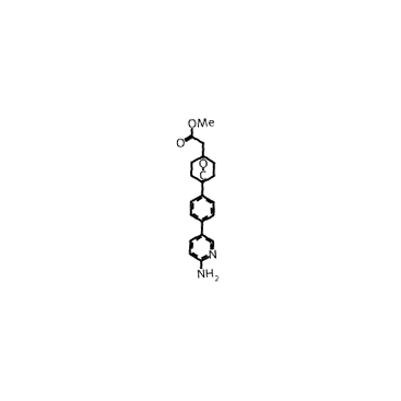 COC(=O)CC12CCC(c3ccc(-c4ccc(N)nc4)cc3)(CC1)CO2